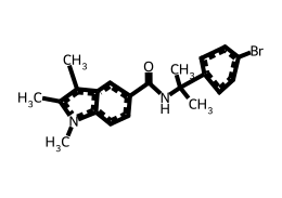 Cc1c(C)n(C)c2ccc(C(=O)NC(C)(C)c3ccc(Br)cc3)cc12